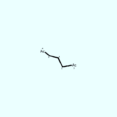 CC(=O)CCCC(C)=O